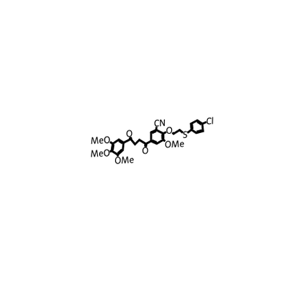 COc1cc(C(=O)CCC(=O)c2cc(OC)c(OC)c(OC)c2)cc(C#N)c1OCCSc1ccc(Cl)cc1